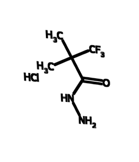 CC(C)(C(=O)NN)C(F)(F)F.Cl